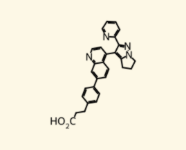 O=C(O)CCc1ccc(-c2ccc3c(-c4c(-c5ccccn5)nn5c4CCC5)ccnc3c2)cc1